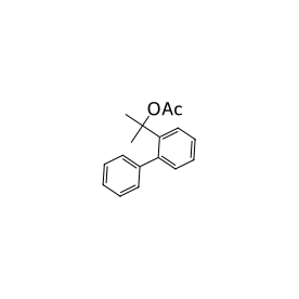 CC(=O)OC(C)(C)c1ccccc1-c1ccccc1